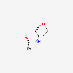 CC(C)C(=O)NC1C=COCC1